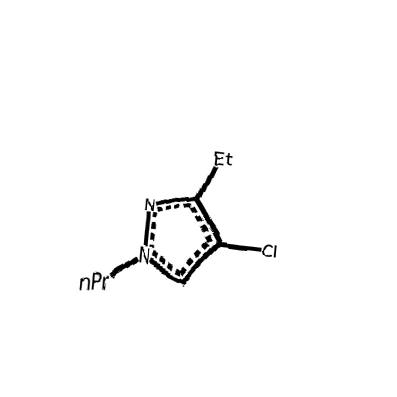 CCCn1[c]c(Cl)c(CC)n1